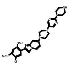 COc1cc(OC)c(-c2cn3ccc(N4CCN(c5cnc(N6CCNCC6)nc5)CC4)cc3n2)cc1Cl